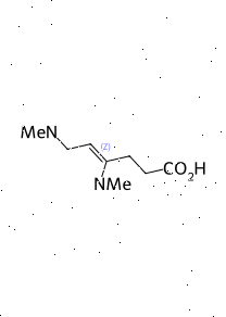 CNC/C=C(/CCC(=O)O)NC